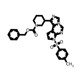 Cc1ccc(S(=O)(=O)n2ccc3c2ncn2cnc(C4CCCN(C(=O)OCc5ccccc5)C4)c32)cc1